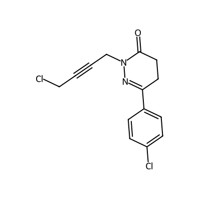 O=C1CCC(c2ccc(Cl)cc2)=NN1CC#CCCl